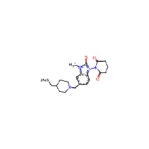 CNCC1CCN(Cc2ccc3c(c2)n(C)c(=O)n3N2C(=O)CCCC2=O)CC1